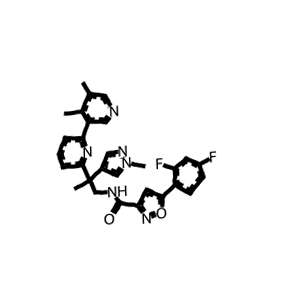 Cc1cncc(-c2cccc(C(C)(CNC(=O)c3cc(-c4ccc(F)cc4F)on3)c3cnn(C)c3)n2)c1C